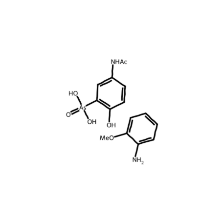 CC(=O)Nc1ccc(O)c([As](=O)(O)O)c1.COc1ccccc1N